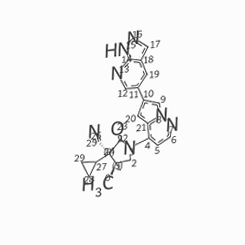 C[C@@H]1CN(c2ccnn3cc(-c4cnc5[nH]ncc5c4)cc23)C(=O)[C@]1(C#N)C1CC1